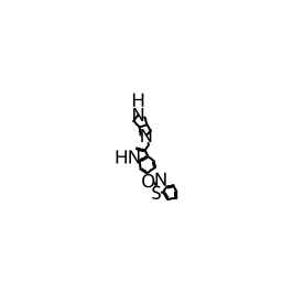 c1ccc2sc(Oc3ccc4c(CN5CC6CNCC6C5)c[nH]c4c3)nc2c1